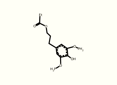 CCC(=O)OCCCc1cc(OP)c(O)c(OP)c1